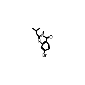 CC(C)Cc1nc2cc(Br)ccc2c(=O)n1C